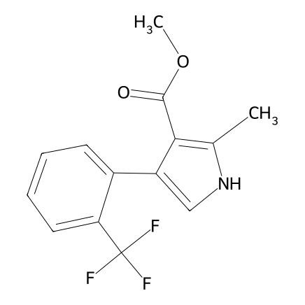 COC(=O)c1c(-c2ccccc2C(F)(F)F)c[nH]c1C